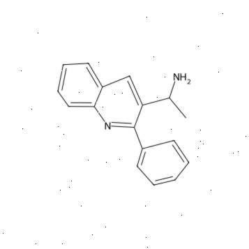 CC(N)c1cc2ccccc2nc1-c1ccccc1